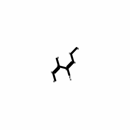 C/C=C(C)\C(I)=C/CC